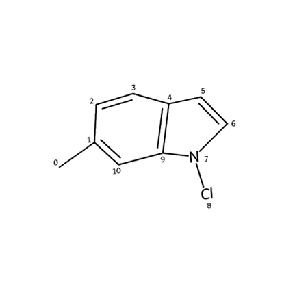 Cc1ccc2ccn(Cl)c2c1